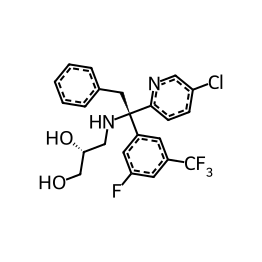 OC[C@H](O)CN[C@@](Cc1ccccc1)(c1cc(F)cc(C(F)(F)F)c1)c1ccc(Cl)cn1